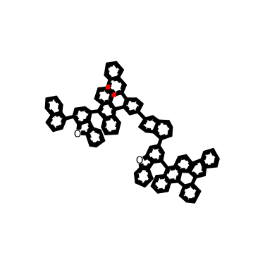 c1ccc(-c2c3ccccc3c(-c3cc(-c4cccc5cc(-c6ccc(-c7ccc8ccccc8c7)c(-c7c8ccccc8c(-c8ccc(-c9cccc%10ccccc9%10)c9oc%10ccccc%10c89)c8ccccc78)c6)ccc45)cc4oc5ccccc5c34)c3ccccc23)c(-c2ccc3ccccc3c2)c1